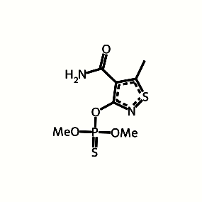 COP(=S)(OC)Oc1nsc(C)c1C(N)=O